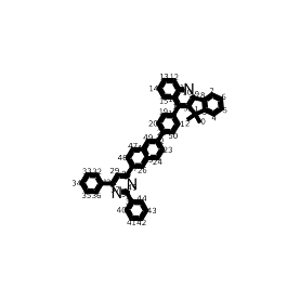 CC1(C)c2ccccc2-c2nc3ccccc3c(-c3ccc(-c4ccc5cc(-c6cc(-c7ccccc7)nc(-c7ccccc7)n6)ccc5c4)cc3)c21